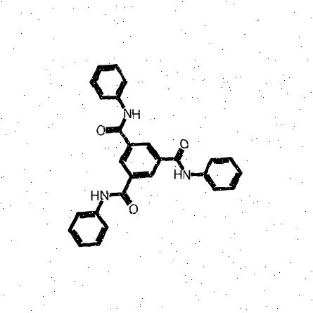 O=C(NC1=CC=C=C=C1)c1cc(C(=O)Nc2ccccc2)cc(C(=O)Nc2ccccc2)c1